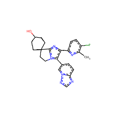 Cc1nc(-c2nc3n(c2-c2ccc4ncnn4c2)CCC32CCC(O)CC2)ccc1F